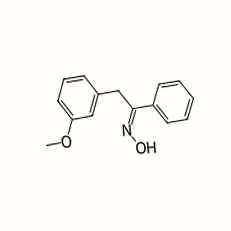 COc1cccc(CC(=NO)c2ccccc2)c1